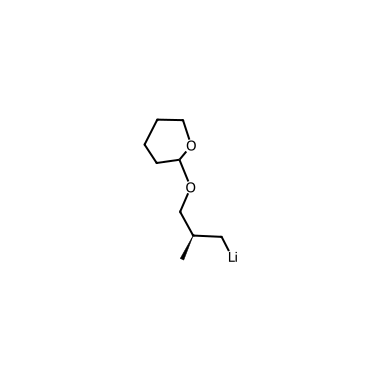 [Li][CH2][C@@H](C)COC1CCCCO1